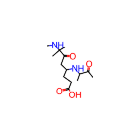 CNC(C)(C)C(=O)CC(CCC(=O)O)NC(C)C(C)=O